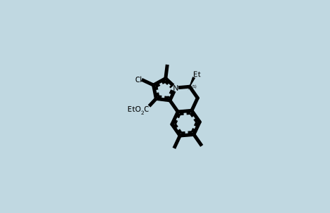 CCOC(=O)c1c(Cl)c(C)n2c1-c1cc(C)c(C)cc1C[C@@H]2CC